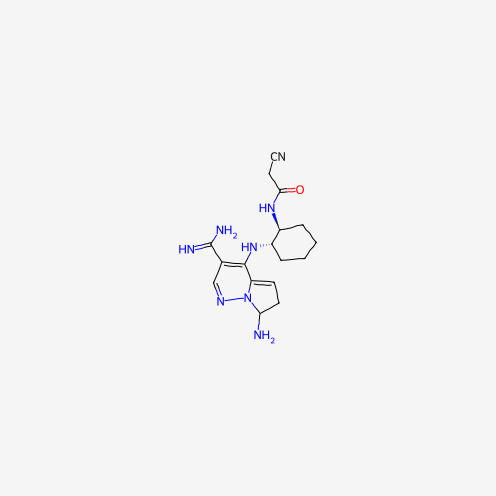 N#CCC(=O)N[C@H]1CCCC[C@@H]1NC1=C(C(=N)N)C=NN2C1=CCC2N